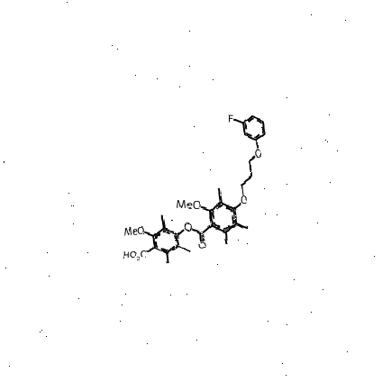 COc1c(C)c(OC(=O)c2c(C)c(C)c(OCCCOc3cccc(F)c3)c(C)c2OC)c(C)c(C)c1C(=O)O